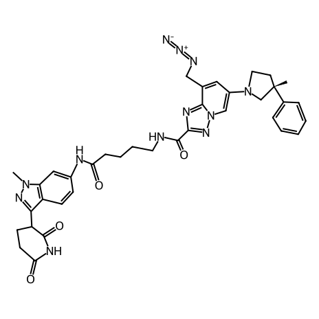 Cn1nc(C2CCC(=O)NC2=O)c2ccc(NC(=O)CCCCNC(=O)c3nc4c(CN=[N+]=[N-])cc(N5CC[C@](C)(c6ccccc6)C5)cn4n3)cc21